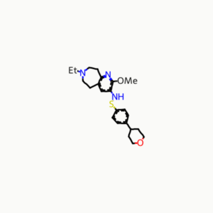 CCN1CCc2cc(NSc3ccc(C4CCOCC4)cc3)c(OC)nc2CC1